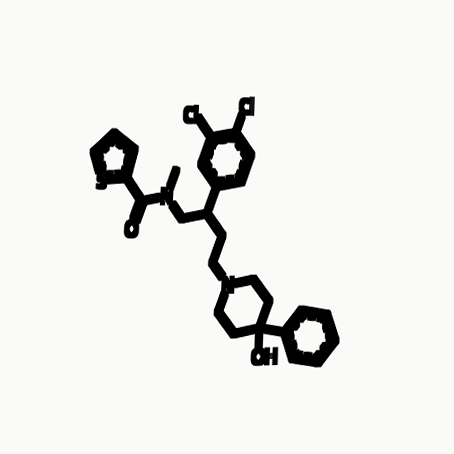 CN(CC(CCN1CCC(O)(c2ccccc2)CC1)c1ccc(Cl)c(Cl)c1)C(=O)c1cccs1